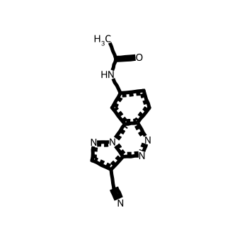 CC(=O)Nc1ccc2nnc3c(C#N)cnn3c2c1